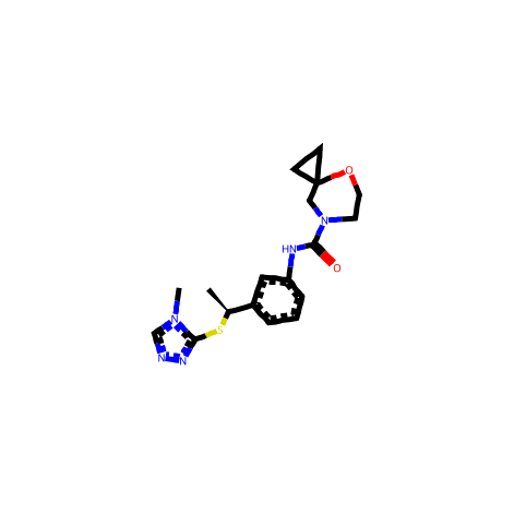 C[C@H](Sc1nncn1C)c1cccc(NC(=O)N2CCOC3(CC3)C2)c1